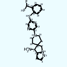 N[C@@H]1c2ccnn2CC12CCN(c1cnc(Sc3ccccc3C(F)F)cn1)CC2